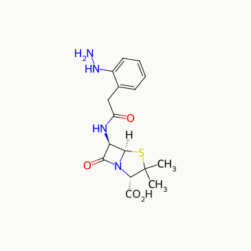 CC1(C)S[C@@H]2[C@H](NC(=O)Cc3ccccc3NN)C(=O)N2[C@H]1C(=O)O